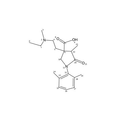 CCN(C)CCC1(C(=O)O)CN(c2c(C)cccc2C)C(=O)C1C